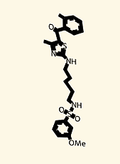 COc1cccc(S(=O)(=O)NCCCCCNc2nc(C)c(C(=O)c3ccccc3C)s2)c1